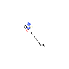 CCCCCCCCCCCCCCCC(=O)Nc1ccccc1-n1nnnc1S